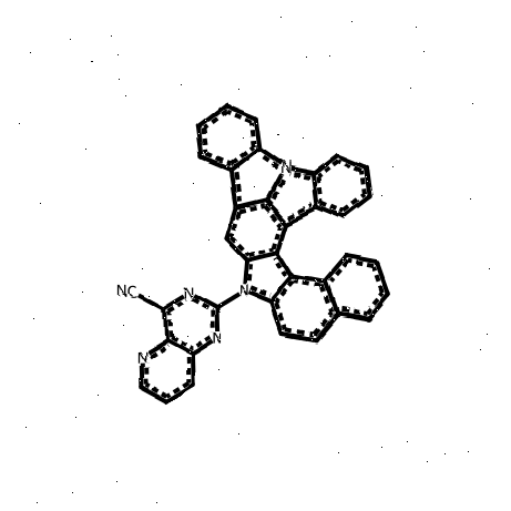 N#Cc1nc(-n2c3ccc4ccccc4c3c3c4c5ccccc5n5c6ccccc6c(cc32)c45)nc2cccnc12